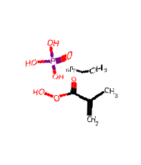 C=C(C)C(=O)OO.CCCC.O=P(O)(O)O